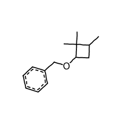 CC1CC(OCc2ccccc2)C1(C)C